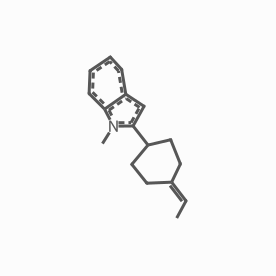 CC=C1CCC(c2cc3ccccc3n2C)CC1